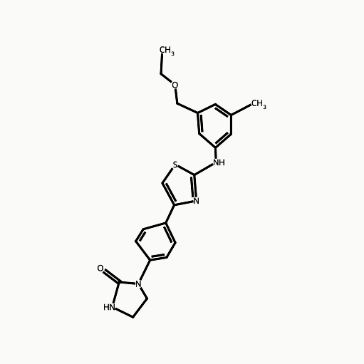 CCOCc1cc(C)cc(Nc2nc(-c3ccc(N4CCNC4=O)cc3)cs2)c1